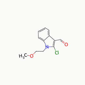 COCCn1c(Cl)c(C=O)c2ccccc21